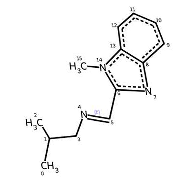 CC(C)C/N=C/c1nc2ccccc2n1C